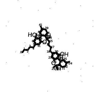 CCCCCc1cc(O)c2c(c1)OC(C)(CCCCc1cc(O)c3c(c1)OC(C)(C)[C@@H]1CCC(C)=C[C@@H]31)[C@@H]1CCC(C)=C[C@@H]21